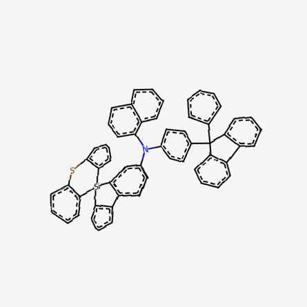 c1ccc(C2(c3ccc(N(c4ccc5c(c4)[Si]4(c6ccccc6Sc6ccccc64)c4ccccc4-5)c4cccc5ccccc45)cc3)c3ccccc3-c3ccccc32)cc1